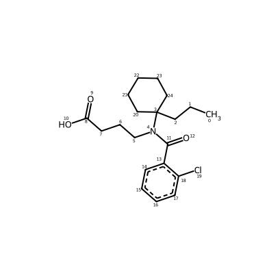 CCCC1(N(CCCC(=O)O)C(=O)c2ccccc2Cl)CCCCC1